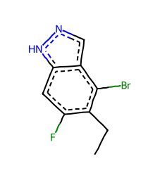 CCc1c(F)cc2[nH]ncc2c1Br